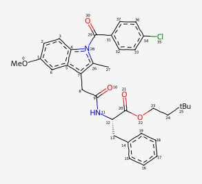 COc1ccc2c(c1)c(CC(=O)N[C@@H](Cc1ccccc1)C(=O)OCCC(C)(C)C)c(C)n2C(=O)c1ccc(Cl)cc1